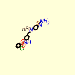 CCCN(CCC1CCC(NS(=O)(=O)c2ccccc2Cl)CC1)C1CCc2nc(N)sc2C1